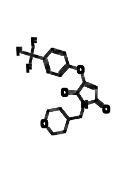 O=C1C=C(Oc2ccc(C(F)(F)F)cc2)C(=O)N1CC1CCOCC1